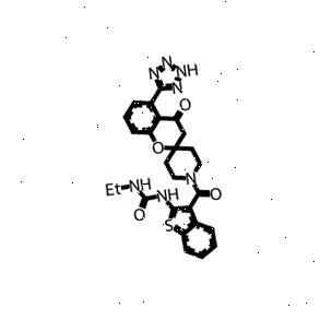 CCNC(=O)Nc1sc2ccccc2c1C(=O)N1CCC2(CC1)CC(=O)c1c(cccc1-c1nn[nH]n1)O2